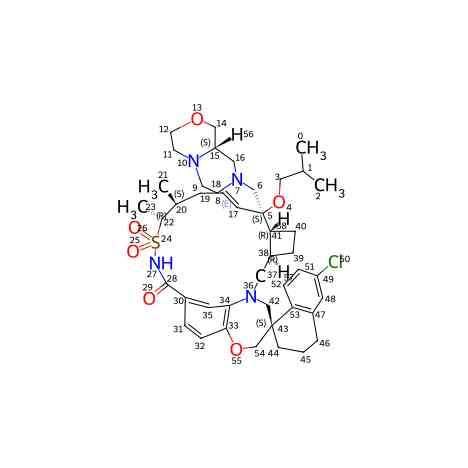 CC(C)CO[C@]1(CN2CCN3CCOC[C@@H]3C2)/C=C/C[C@H](C)[C@@H](C)S(=O)(=O)NC(=O)c2ccc3c(c2)N(C[C@@H]2CC[C@H]21)C[C@@]1(CCCc2cc(Cl)ccc21)CO3